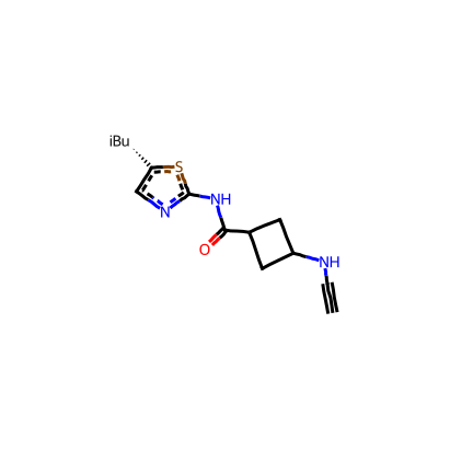 C#CNC1CC(C(=O)Nc2ncc([C@@H](C)CC)s2)C1